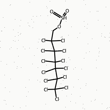 O=[SH](=O)O[CH]C(Cl)(Cl)C(Cl)(Cl)C(Cl)(Cl)C(Cl)(Cl)C(Cl)(Cl)C(Cl)(Cl)Cl